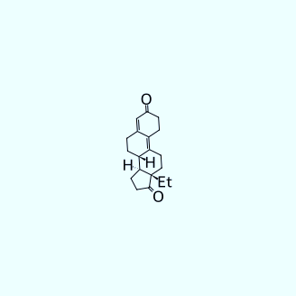 CC[C@]12CCC3=C4CCC(=O)C=C4CC[C@H]3[C@@H]1CCC2=O